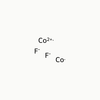 [Co+2].[Co].[F-].[F-]